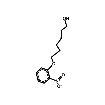 O=[N+]([O-])c1ccccc1OCCCCCCO